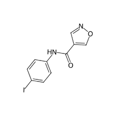 O=C(Nc1ccc(I)cc1)c1cnoc1